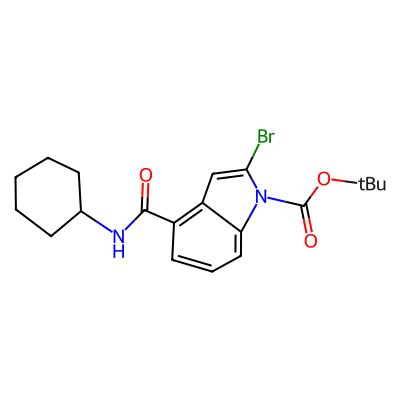 CC(C)(C)OC(=O)n1c(Br)cc2c(C(=O)NC3CCCCC3)cccc21